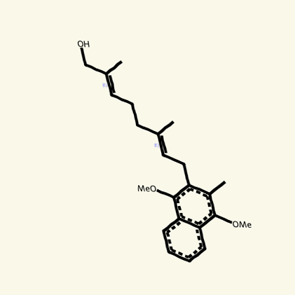 COc1c(C)c(C/C=C(\C)CC/C=C(\C)CO)c(OC)c2ccccc12